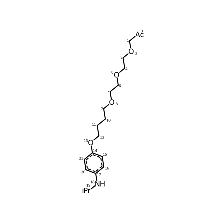 CC(=O)COCCOCCOCCCCOc1ccc(NC(C)C)cc1